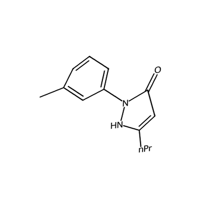 CCCc1cc(=O)n(-c2cccc(C)c2)[nH]1